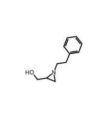 OCC1CN1CCc1ccccc1